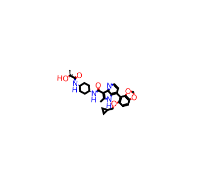 Cc1[nH]c2c(-c3c(OCC4CC4)ccc4c3OCO4)ccnc2c1C(=O)N[C@H]1CC[C@@H](NC(=O)[C@H](C)O)CC1